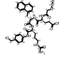 COC(=O)CC[C@H](NC(=O)CN=[N+]=[N-])C(=O)N[C@@H](Cc1cccc2ccccc12)C(=O)N[C@@H](CCCNC(N)=O)C(=O)Nc1ccc(CO)cc1